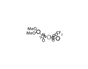 COc1ccc(C2=NN(C3CCN(S(=O)(=O)c4ccccc4OC(F)(F)F)CC3)C(=O)C2(C)C)cc1OC